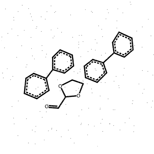 O=CC1OCCO1.c1ccc(-c2ccccc2)cc1.c1ccc(-c2ccccc2)cc1